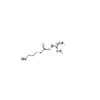 C[SiH](C)OCC(=O)CCCCC(C)(C)C